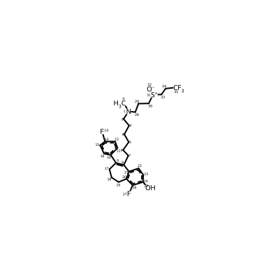 CN(CCCCCCC1=C(c2ccc(F)cc2)CCCc2c1ccc(O)c2F)CCC[S+]([O-])CCC(F)(F)F